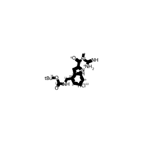 CN(C(=N)N)C(=O)c1cc2c(CNC(=O)OC(C)(C)C)cccc2[nH]1.Cl